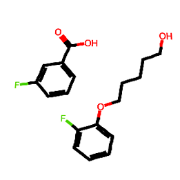 O=C(O)c1cccc(F)c1.OCCCCCOc1ccccc1F